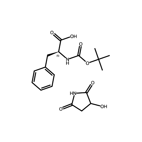 CC(C)(C)OC(=O)N[C@@H](Cc1ccccc1)C(=O)O.O=C1CC(O)C(=O)N1